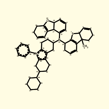 CC12CCC=CC1SC1=C2C=CCC1N(C1=CC=CC2OC3=C(C=CCC3)C12)C1CCc2c(c3c(n2-c2ccccc2)CC(C2CCCCC2)CC3)C1